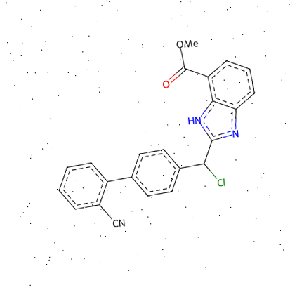 COC(=O)c1cccc2nc(C(Cl)c3ccc(-c4ccccc4C#N)cc3)[nH]c12